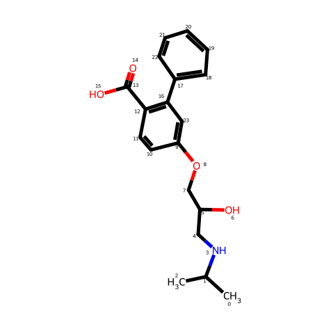 CC(C)NCC(O)COc1ccc(C(=O)O)c(-c2ccccc2)c1